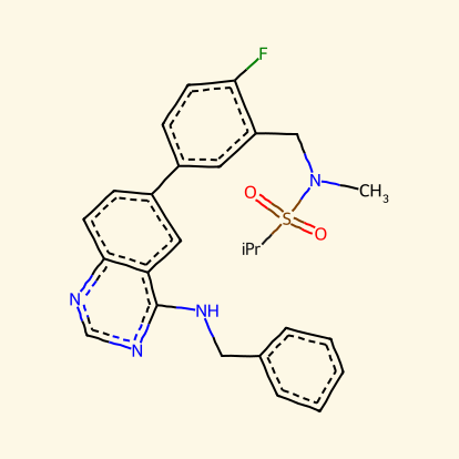 CC(C)S(=O)(=O)N(C)Cc1cc(-c2ccc3ncnc(NCc4ccccc4)c3c2)ccc1F